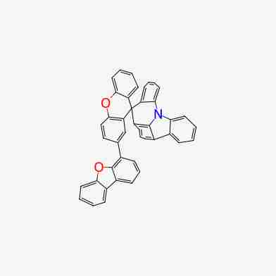 c1ccc2c(c1)Oc1ccc(-c3cccc4c3oc3ccccc34)cc1C21c2ccccc2-n2c3ccccc3c3cccc1c32